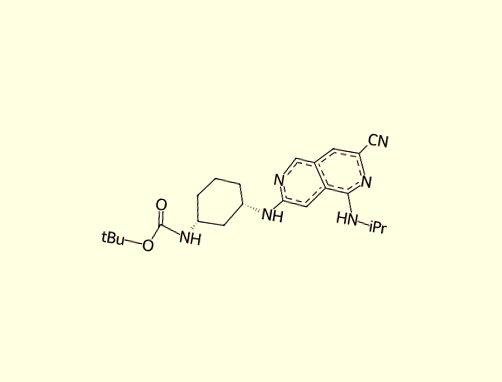 CC(C)Nc1nc(C#N)cc2cnc(N[C@H]3CCC[C@@H](NC(=O)OC(C)(C)C)C3)cc12